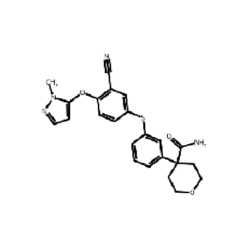 Cn1nccc1Oc1ccc(Sc2cccc(C3(C(N)=O)CCOCC3)c2)cc1C#N